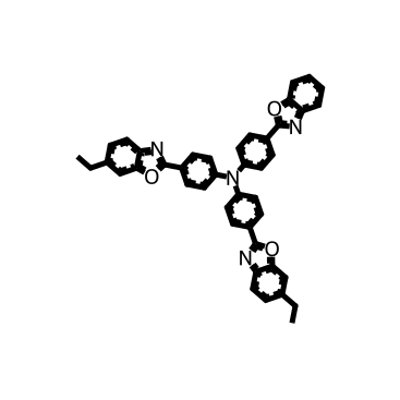 CCc1ccc2nc(-c3ccc(N(c4ccc(-c5nc6ccccc6o5)cc4)c4ccc(-c5nc6ccc(CC)cc6o5)cc4)cc3)oc2c1